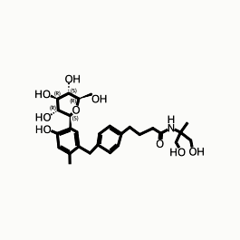 Cc1cc(O)c([C@@H]2O[C@H](CO)[C@@H](O)[C@H](O)[C@H]2O)cc1Cc1ccc(CCCC(=O)NC(C)(CO)CO)cc1